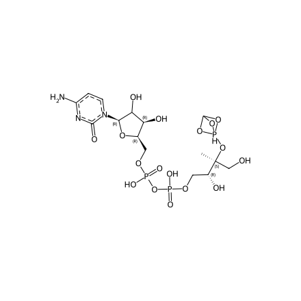 C[C@@](CO)(O[PH]12OC(O1)O2)[C@H](O)COP(=O)(O)OP(=O)(O)OC[C@H]1O[C@@H](n2ccc(N)nc2=O)C(O)[C@H]1O